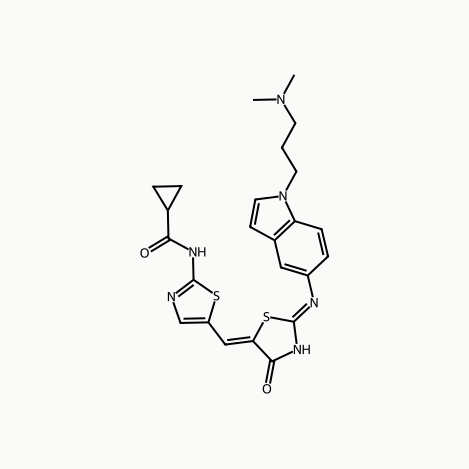 CN(C)CCCn1ccc2cc(N=C3NC(=O)/C(=C/c4cnc(NC(=O)C5CC5)s4)S3)ccc21